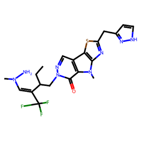 CCC(Cn1ncc2c3sc(Cc4cc[nH]n4)nc3n(C)c2c1=O)/C(=C\N(C)N)C(F)(F)F